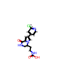 O=C(O)NCCC1CNC(=O)c2cc(-c3ccnc(Cl)c3)cn21